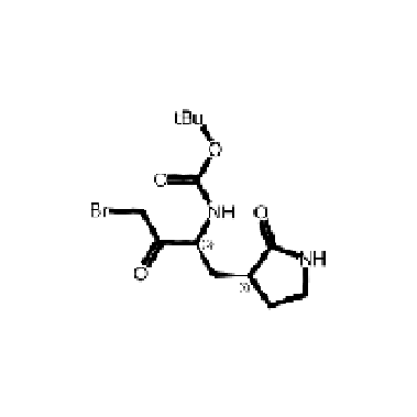 CC(C)(C)OC(=O)N[C@@H](C[C@@H]1CCNC1=O)C(=O)CBr